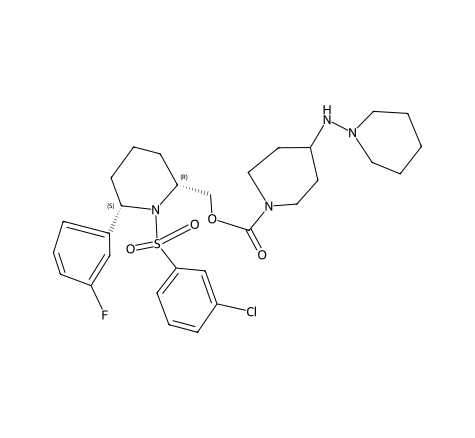 O=C(OC[C@H]1CCC[C@@H](c2cccc(F)c2)N1S(=O)(=O)c1cccc(Cl)c1)N1CCC(NN2CCCCC2)CC1